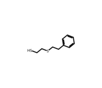 SCCSCCc1ccccc1